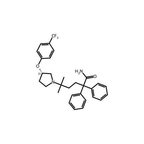 CC(C)(CCC(C(N)=O)(c1ccccc1)c1ccccc1)N1CC[C@H](Oc2ccc(C(F)(F)F)cc2)C1